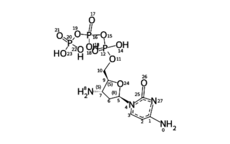 Nc1ccn([C@H]2C[C@H](N)[C@@H](COP(=O)(O)OP(=O)(O)OP(=O)(O)O)O2)c(=O)n1